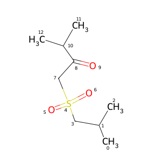 CC(C)CS(=O)(=O)CC(=O)C(C)C